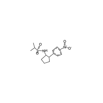 CC(C)S(=O)(=O)NC1CCCC1c1ccc([N+](=O)[O-])cc1